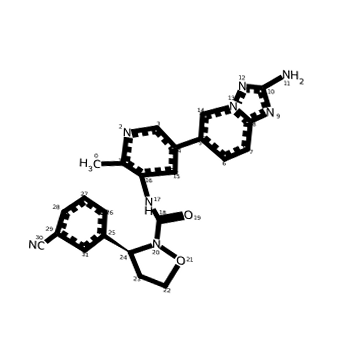 Cc1ncc(-c2ccc3nc(N)nn3c2)cc1NC(=O)N1OCC[C@H]1c1cccc(C#N)c1